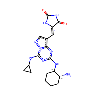 N[C@@H]1CCCC[C@H]1Nc1nc(NC2CC2)n2ncc(/C=C3\NC(=O)NC3=O)c2n1